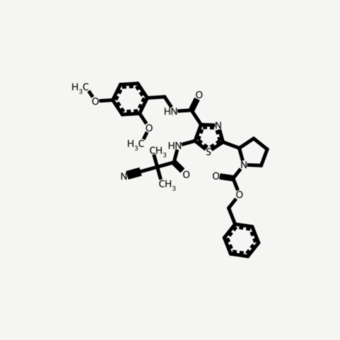 COc1ccc(CNC(=O)c2nc(C3CCCN3C(=O)OCc3ccccc3)sc2NC(=O)C(C)(C)C#N)c(OC)c1